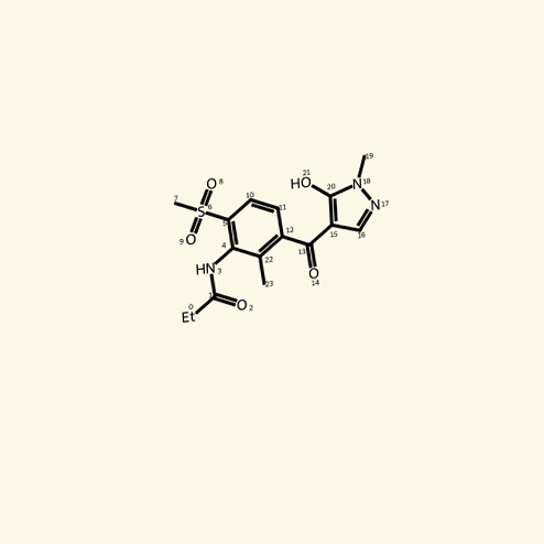 CCC(=O)Nc1c(S(C)(=O)=O)ccc(C(=O)c2cnn(C)c2O)c1C